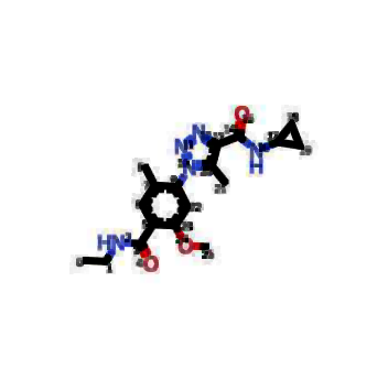 CCNC(=O)c1cc(C)c(-n2nnc(C(=O)NC3CC3)c2C)cc1OC